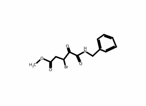 COC(=O)CC(Br)C(=O)C(=O)NCc1ccccc1